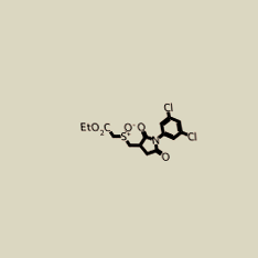 CCOC(=O)C[S+]([O-])CC1CC(=O)N(c2cc(Cl)cc(Cl)c2)C1=O